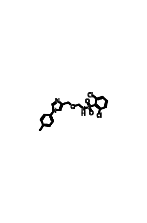 Cc1ccc(-n2cnc(COCNS(=O)(=O)c3c(Cl)cccc3Cl)c2)cc1